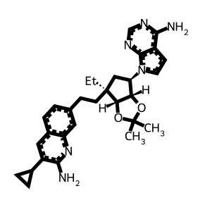 CC[C@]1(CCc2ccc3cc(C4CC4)c(N)nc3c2)C[C@@H](n2ccc3c(N)ncnc32)[C@@H]2OC(C)(C)O[C@@H]21